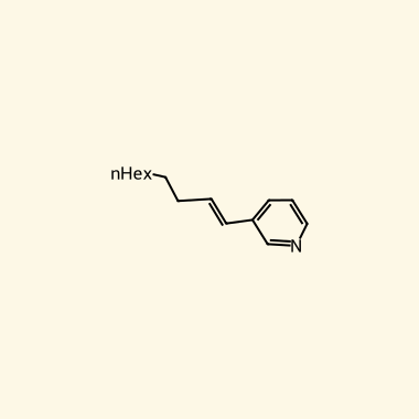 CCCCCCCC/C=C/c1cccnc1